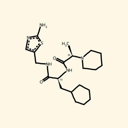 C[C@H](C(=O)N[C@@H](CC1CCCCC1)C(=O)NCc1cnc(N)s1)N1CCCCC1